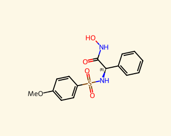 COc1ccc(S(=O)(=O)N[C@@H](C(=O)NO)c2ccccc2)cc1